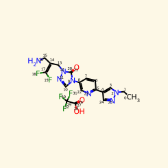 CCn1cc(-c2ccc(-n3cnn(CC(CN)=C(F)F)c3=O)cn2)cn1.O=C(O)C(F)(F)F